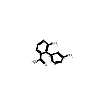 NC(=O)c1cccc(N)c1-c1cccc(N)c1